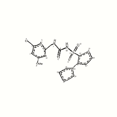 COc1cc(Cl)nc(NC(=O)NS(=O)(=O)c2sccc2-n2cccc2)n1